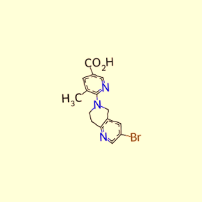 Cc1cc(C(=O)O)cnc1N1CCc2ncc(Br)cc2C1